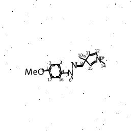 COc1ccc(N(C)N=CC2(C)C=C[N+](C)=C2)cc1